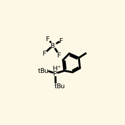 Cc1ccc([PH+](C(C)(C)C)C(C)(C)C)cc1.F[B-](F)(F)F